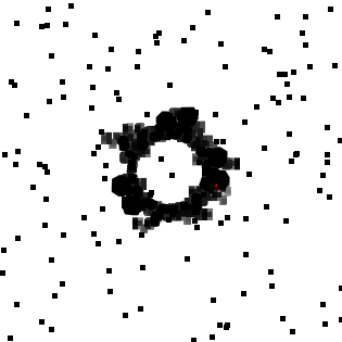 CCCC[C@@H]1NC(=O)[C@H](Cc2ccccc2)N(C)C(=O)[C@H](Cc2ccccc2)NC(=O)CSC[C@@H](C(=O)NCC(N)=O)NC(=O)[C@H](CC(C)C)NC(=O)[C@H](Cc2ccc(O)cc2)NC(=O)[C@H](Cc2c[nH]c3ccccc23)NC(O)CN(C)C(=O)[C@H](Cc2ccc(O)cc2)NC(=O)[C@H](Cc2ccccc2)N(C)C(=O)[C@H](C(C)C)NC(=O)[C@H](CC(=O)O)NC(O)CN(C)C1=O